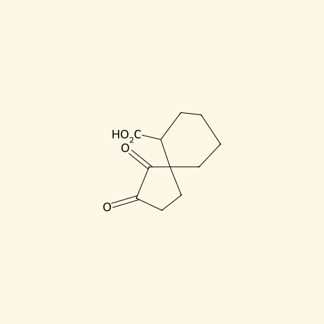 O=C1CCC2(CCCCC2C(=O)O)C1=O